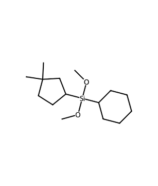 CO[Si](OC)(C1CCCCC1)C1CCC(C)(C)C1